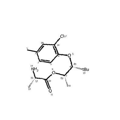 Cc1ccc(O[C@@H]([C@H](C)OC(=O)[C@H](C)N)C(C)(C)C)c(Cl)c1